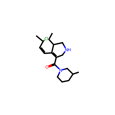 CCC1CNCC(C(=O)N2CCCC(C)C2)=C1/C=C\C(C)Cl